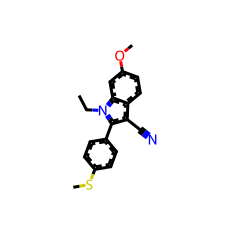 CCn1c(-c2ccc(SC)cc2)c(C#N)c2ccc(OC)cc21